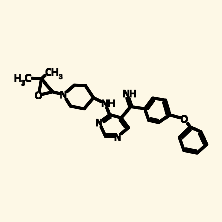 CC1(C)OC1N1CCC(Nc2ncncc2C(=N)c2ccc(Oc3ccccc3)cc2)CC1